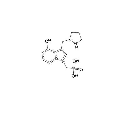 O=P(O)(O)Cn1cc(CC2CCCN2)c2c(O)cccc21